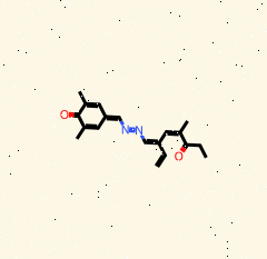 C=CC(=CN=NC=C1C=C(C)C(=O)C(C)=C1)/C=C(/C)C(=O)CC